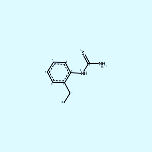 CCc1ccc[c]c1NC(N)=S